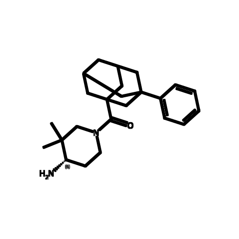 CC1(C)CN(C(=O)C23CC4CC(C2)CC(c2ccccc2)(C4)C3)CC[C@@H]1N